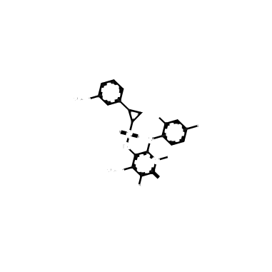 COc1cccc(C2CC2S(=O)(=O)Nc2c(OC)c(Cl)c(=O)n(C)c2Nc2ccc(I)cc2F)c1